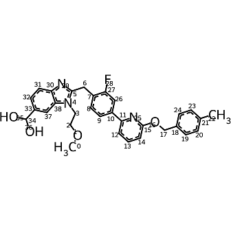 COCCn1c(Cc2ccc(-c3cccc(OCc4ccc(C)cc4)n3)cc2F)nc2ccc(C(O)O)cc21